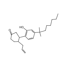 C=CCC1CCC(=O)CC1c1ccc(C(C)(C)CCCCCC)cc1O